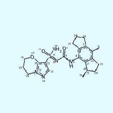 Cc1c2c(c(NC(=O)N=S(N)(=O)c3cnn4c3OCCC4)c3c1CC[C@H]3C)CCC2